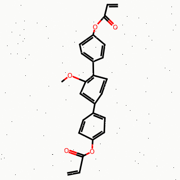 C=CC(=O)Oc1ccc(-c2ccc(-c3ccc(OC(=O)C=C)cc3)c(OC)c2)cc1